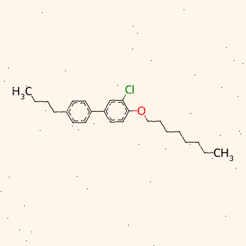 CCCCCCCCOc1ccc(-c2ccc(CCCC)cc2)cc1Cl